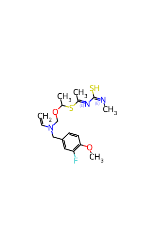 C=CN(COC(C)S/C(C)=N/C(S)=N\C)Cc1ccc(OC)c(F)c1